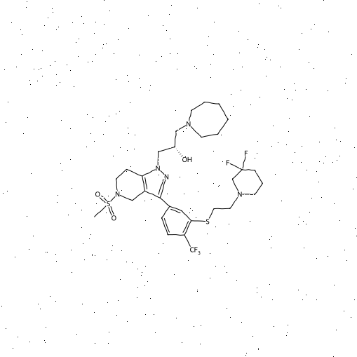 CS(=O)(=O)N1CCc2c(c(-c3ccc(C(F)(F)F)c(SCCN4CCCC(F)(F)C4)c3)nn2C[C@@H](O)CN2CCCCCC2)C1